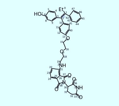 CC/C(=C(\c1ccc(O)cc1)c1ccc(OCCOCCNc2cccc3c2C(=O)N(C2CCC(=O)NC2=O)C3=O)cc1)c1ccccc1